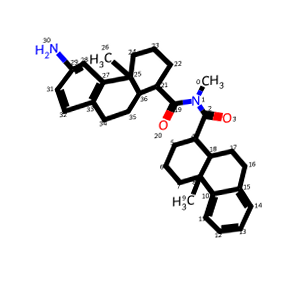 CN(C(=O)C1CCCC2(C)c3ccccc3CCC12)C(=O)C1CCCC2(C)c3cc(N)ccc3CCC12